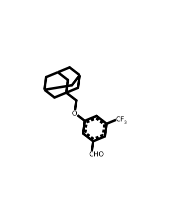 O=Cc1cc(OCC23CC4CC(CC(C4)C2)C3)cc(C(F)(F)F)c1